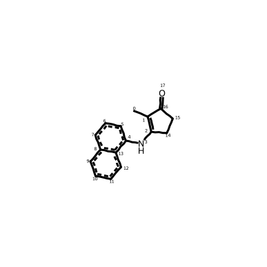 CC1=C(Nc2cccc3ccccc23)CCC1=O